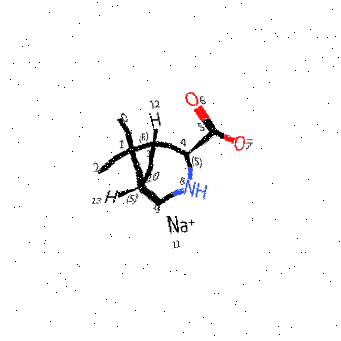 CC1(C)[C@@H]2[C@@H](C(=O)[O-])NC[C@@H]21.[Na+]